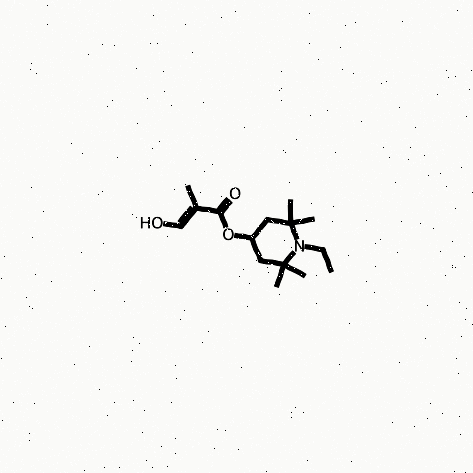 CCN1C(C)(C)CC(OC(=O)C(C)=CO)CC1(C)C